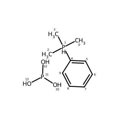 C[PH](C)(C)c1ccccc1.OP(O)O